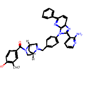 Nc1ncccc1-c1nc2ccc(-c3ccccc3)nc2n1-c1ccc(CN2C[C@@H]3C[C@H]2CN3C(=O)c2ccc(O)c(C=O)c2)cc1